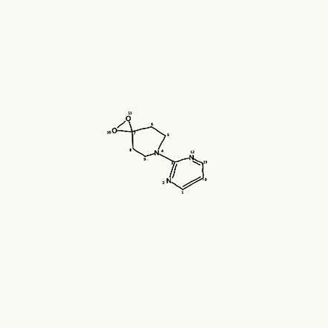 [c]1cnc(N2CCC3(CC2)OO3)nc1